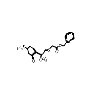 CC1CCC(C(C)CSCC(=O)OCc2ccccc2)C(=O)C1